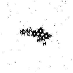 CN(C(=O)Cn1ccnc1)c1ccc(N/C(=C2\C(=O)Nc3cc(F)ccc32)c2ccccc2)cc1